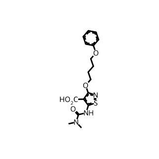 CN(C)C(=O)Nc1snc(OCCCCOc2ccccc2)c1C(=O)O